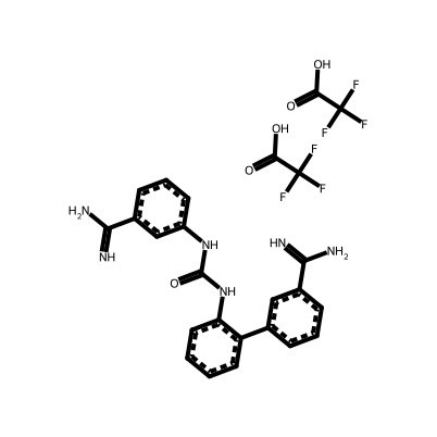 N=C(N)c1cccc(NC(=O)Nc2ccccc2-c2cccc(C(=N)N)c2)c1.O=C(O)C(F)(F)F.O=C(O)C(F)(F)F